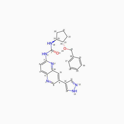 O=C(Nc1ccc2ncc(-c3cn[nH]c3)cc2n1)N[C@H]1CCC[C@@H]1OCc1ccccc1